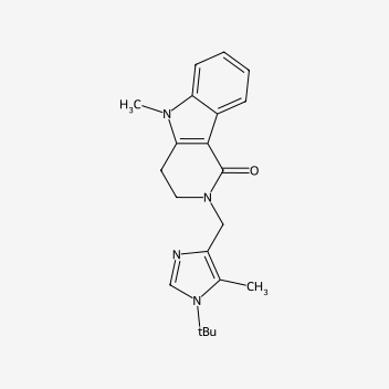 Cc1c(CN2CCc3c(c4ccccc4n3C)C2=O)ncn1C(C)(C)C